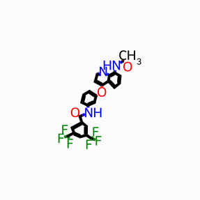 CC(=O)Nc1cccc2c(Oc3cccc(NC(=O)c4cc(C(F)(F)F)cc(C(F)(F)F)c4)c3)ccnc12